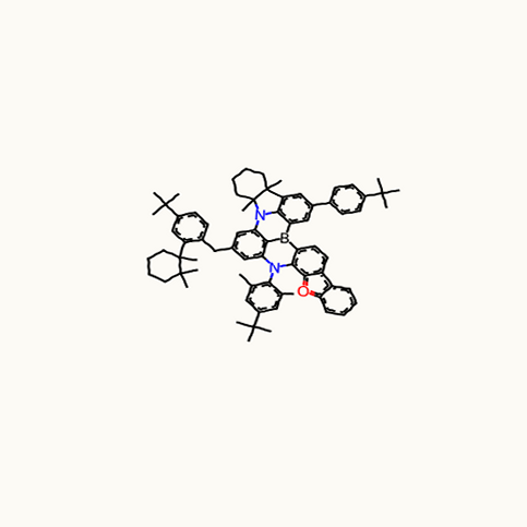 Cc1cc(C(C)(C)C)cc(C)c1N1c2cc(Cc3ccc(C(C)(C)C)cc3C3(C)CCCCC3(C)C)cc3c2B(c2cc(-c4ccc(C(C)(C)C)cc4)cc4c2N3C2(C)CCCCC42C)c2ccc3c(oc4ccccc43)c21